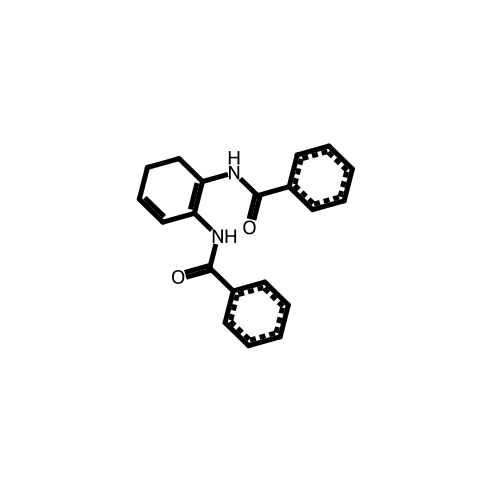 O=C(NC1=C(NC(=O)c2ccccc2)CCC=C1)c1ccccc1